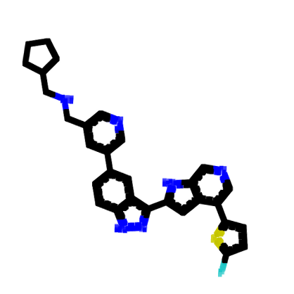 Fc1ccc(-c2cncc3[nH]c(-c4n[nH]c5ccc(-c6cncc(CNCC7CCCC7)c6)cc45)cc23)s1